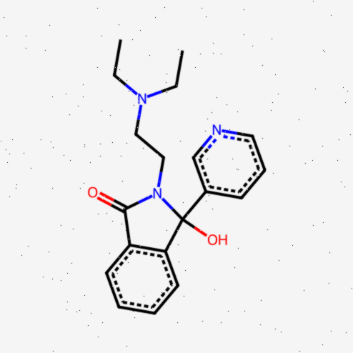 CCN(CC)CCN1C(=O)c2ccccc2C1(O)c1cccnc1